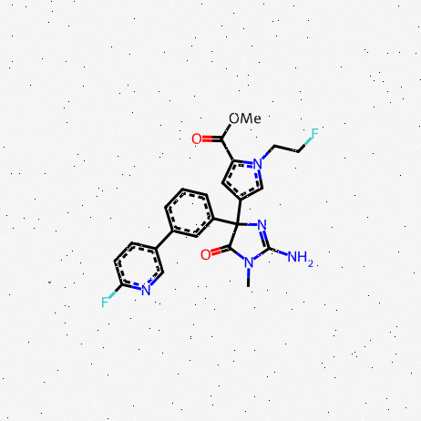 COC(=O)c1cc(C2(c3cccc(-c4ccc(F)nc4)c3)N=C(N)N(C)C2=O)cn1CCF